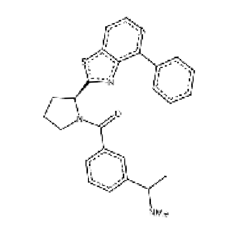 CNC(C)c1cccc(C(=O)N2CCC[C@H]2c2nc3c(-c4ccccc4)nccc3s2)c1